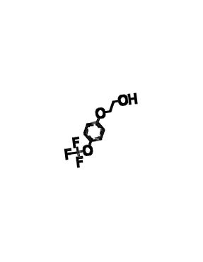 OCCOc1ccc(OC(F)(F)F)cc1